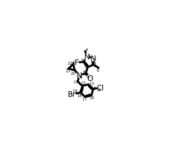 Cc1nn(C)c(F)c1C(=O)N(Cc1cc(Cl)ccc1Br)C1CC1